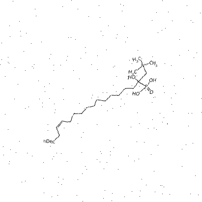 CCCCCCCCCCC/C=C\CCCCCCCCCCCC(O)(C[N+](C)(C)C)P(=O)(O)O